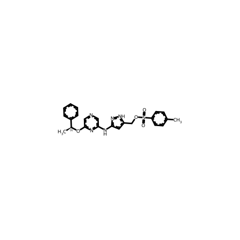 Cc1ccc(S(=O)(=O)OCc2cc(Nc3cncc(O[C@@H](C)c4ccccc4)n3)n[nH]2)cc1